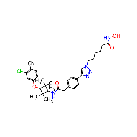 CC1(C)C(NC(=O)Cc2ccc(-c3cn(CCCCCC(=O)NO)nn3)cc2)C(C)(C)C1Oc1ccc(C#N)c(Cl)c1